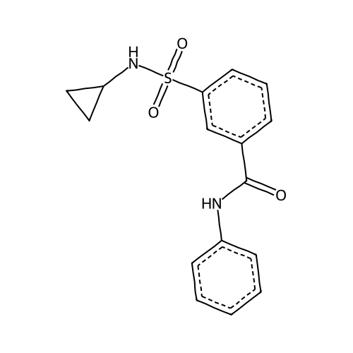 O=C(Nc1ccccc1)c1cccc(S(=O)(=O)NC2CC2)c1